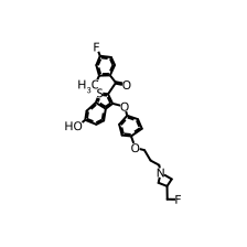 Cc1cc(F)ccc1C(=O)c1sc2cc(O)ccc2c1Oc1ccc(OCCCN2CC(CF)C2)cc1